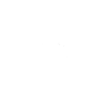 Cc1cccc(C(C)(C)C=O)c1